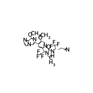 CCN(C(=O)N[C@@H](CCC#N)C(F)(F)F)[C@@H](c1cc(-c2cn3ccnc3c(OC)n2)c(OC)cn1)C(F)(F)F